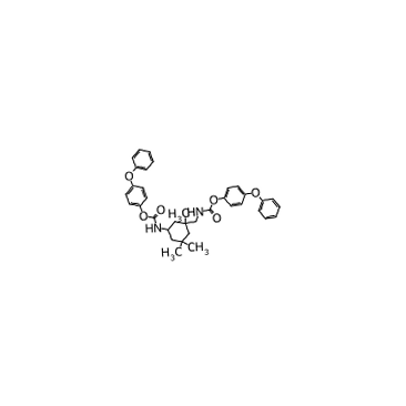 CC1(C)CC(NC(=O)Oc2ccc(Oc3ccccc3)cc2)CC(C)(CNC(=O)Oc2ccc(Oc3ccccc3)cc2)C1